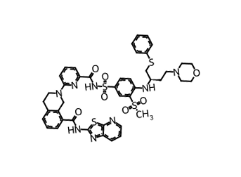 CS(=O)(=O)c1cc(S(=O)(=O)NC(=O)c2cccc(N3CCc4cccc(C(=O)Nc5nc6cccnc6s5)c4C3)n2)ccc1N[C@H](CCN1CCOCC1)CSc1ccccc1